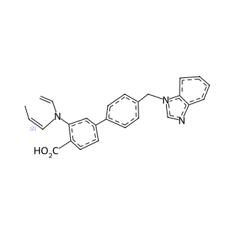 C=CN(/C=C\C)c1cc(-c2ccc(Cn3cnc4ccccc43)cc2)ccc1C(=O)O